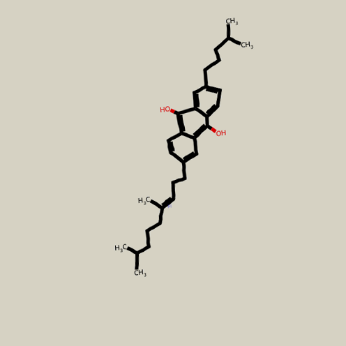 C/C(=C\CCc1ccc2c(O)c3cc(CCCC(C)C)ccc3c(O)c2c1)CCCC(C)C